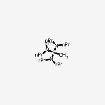 CCCN(CCC)S(C)(N(CCC)CCC)N(CCC)CCC